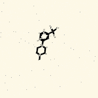 CN1CCN(c2cc(C(F)(F)F)ncn2)CC1